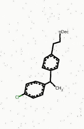 [CH2]C(c1ccc(Cl)cc1)c1ccc(CCCCCCCCCCCC)cc1